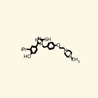 CC(C)c1cc(-c2nnc(S)n2Cc2ccc(OCCN3CCN(C)CC3)cc2)ccc1O